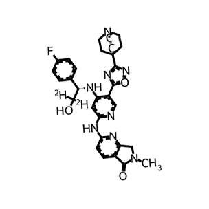 [2H]C([2H])(O)[C@@H](Nc1cc(Nc2ccc3c(n2)CN(C)C3=O)ncc1-c1nc(C23CCN(CC2)CC3)no1)c1ccc(F)cc1